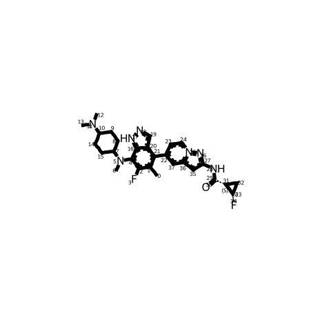 Cc1c(F)c(N(C)C2CCC(N(C)C)CC2)c2[nH]ncc2c1-c1ccn2nc(NC(=O)[C@@H]3C[C@@H]3F)cc2c1